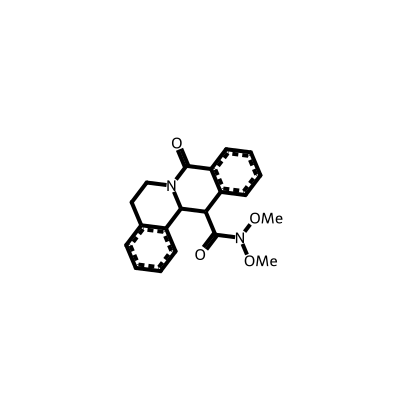 CON(OC)C(=O)C1c2ccccc2C(=O)N2CCc3ccccc3C12